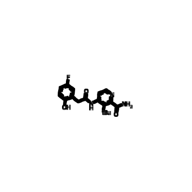 CC(C)(C)c1c(NC(=O)Cc2cc(F)ccc2O)ccnc1C(N)=O